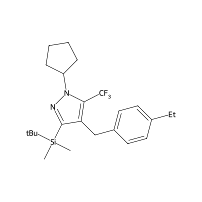 CCc1ccc(Cc2c([Si](C)(C)C(C)(C)C)nn(C3CCCC3)c2C(F)(F)F)cc1